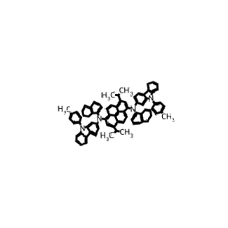 Cc1ccc(-n2c3ccccc3c3ccc(N(c4cccc5c4CCCC5)c4cc(C(C)C)c5ccc6c(N(c7ccc8c9ccccc9n(-c9ccc(C)cc9)c8c7)c7cccc8c7CCCC8)cc(C(C)C)c7ccc4c5c76)cc32)cc1